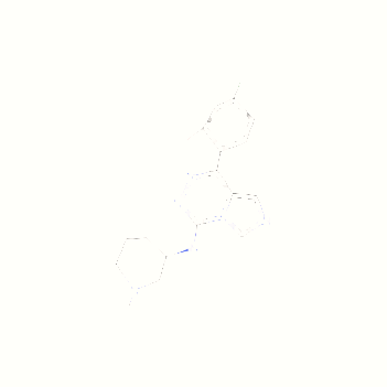 CC(C)N1CCC[C@@H](Nc2nnc(-c3ccc(Cl)cc3O)c3cncn23)C1